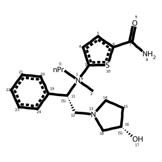 CCC[N+](C)(c1ccc(C(N)=O)s1)[C@H](CN1CC[C@H](O)C1)c1ccccc1